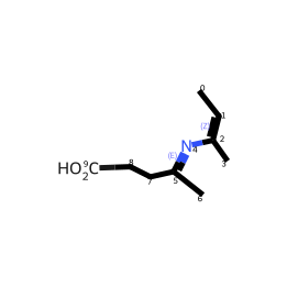 C/C=C(C)\N=C(/C)CCC(=O)O